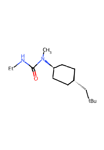 CCNC(=O)N(C)[C@H]1CC[C@H](CC(C)(C)C)CC1